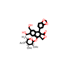 CC(=O)O[C@@H]1[C@H](OC(C)=O)[C@H](C)OC(Oc2c3c(c(-c4ccc5c(c4)OCO5)c4cc(CO)c(CO)cc24)C(=O)OC3)[C@H]1OC(C)=O